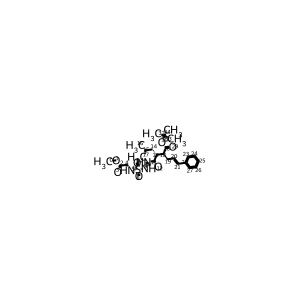 COC(=O)CNS(=O)(=O)NNC(=O)[C@H](CC(C)C)[C@H](C/C=C/c1ccccc1)C(=O)OC(C)(C)C